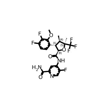 COc1c([C@@H]2[C@@H](C)[C@@](C)(C(F)(F)F)O[C@H]2C(=O)Nc2cc(C(N)=O)ncc2F)ccc(F)c1F